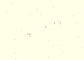 N#Cc1ccc(CCC2CCNCC2)cc1